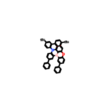 CC(C)(C)c1ccc(-c2cc(C(C)(C)C)ccc2N2c3ccc(-c4ccccc4)cc3B3c4cc(-c5ccccc5)ccc4Oc4cccc2c43)cc1